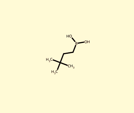 CC(C)(C)CCB(O)O